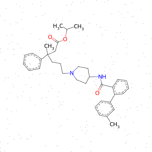 Cc1cccc(-c2ccccc2C(=O)NC2CCN(CCCC(C)(CC(=O)OC(C)C)c3ccccc3)CC2)c1